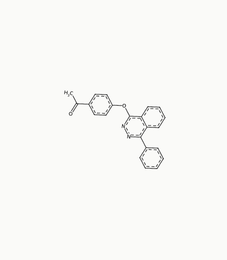 CC(=O)c1ccc(Oc2nnc(-c3ccccc3)c3ccccc23)cc1